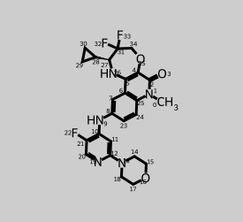 Cn1c(=O)c2c(c3cc(Nc4cc(N5CCOCC5)ncc4F)ccc31)N[C@@H](C1CC1)C(F)(F)CO2